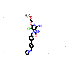 COCCOc1nc(N)c2[nH]c(=O)n(Cc3ccc(-c4ccc(CN5CCCC5)cc4)cc3)c2c1Cl